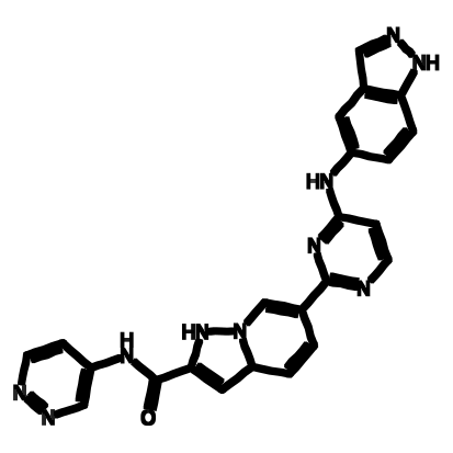 O=C(Nc1ccnnc1)C1=CC2C=CC(c3nccc(Nc4ccc5[nH]ncc5c4)n3)=CN2N1